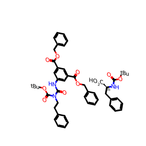 CC(C)(C)OC(=O)N(CCc1ccccc1)C(=O)Nc1cc(C(=O)OCc2ccccc2)cc(C(=O)OCc2ccccc2)c1.CC(C)(C)OC(=O)N[C@@H](Cc1ccccc1)C(=O)O